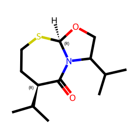 CC(C)C1CO[C@@H]2SCC[C@H](C(C)C)C(=O)N12